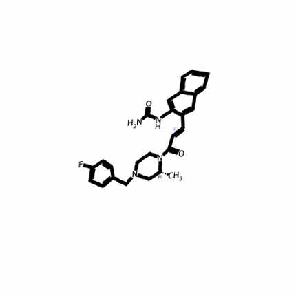 C[C@@H]1CN(Cc2ccc(F)cc2)CCN1C(=O)/C=C/c1cc2ccccc2cc1NC(N)=O